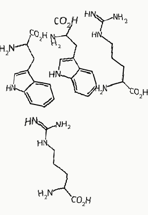 N=C(N)NCCCC(N)C(=O)O.N=C(N)NCCCC(N)C(=O)O.NC(Cc1c[nH]c2ccccc12)C(=O)O.NC(Cc1c[nH]c2ccccc12)C(=O)O